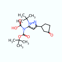 CC(C)(C)OC(=O)N(C(=O)O)c1cc(C2CCC(=O)C2)nn1C(C)(C)C